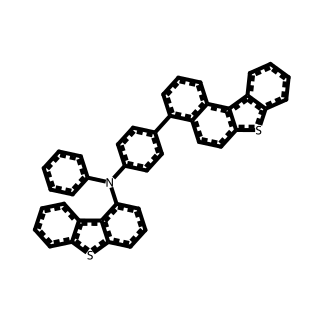 c1ccc(N(c2ccc(-c3cccc4c3ccc3sc5ccccc5c34)cc2)c2cccc3sc4ccccc4c23)cc1